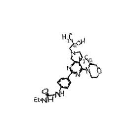 CCNC(=O)Nc1ccc(-c2nc3c(c(N4CCOC[C@@H]4C)n2)CCN(C[C@@H](C)O)C3)cc1